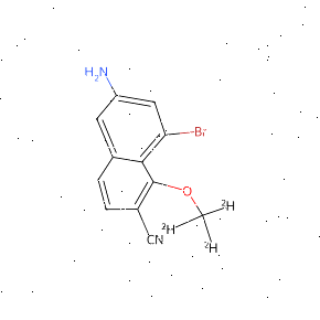 [2H]C([2H])([2H])Oc1c(C#N)ccc2cc(N)cc(Br)c12